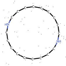 C1CCCCNCCCCCCCCCNCCCC1